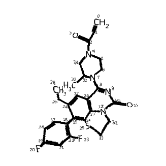 C=CC(=O)N1CCN(c2nc(=O)n3c4c(c(-c5ccc(F)cc5F)c(CC)cc24)SCC3)C(C)C1